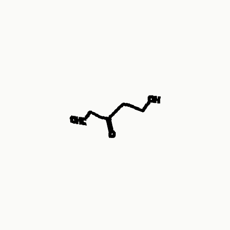 O=CCC(=O)CCO